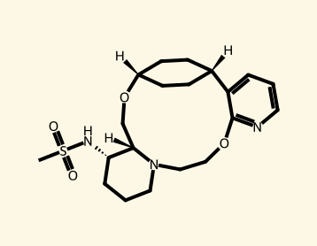 CS(=O)(=O)N[C@H]1CCCN2CCOc3ncccc3[C@H]3CC[C@H](CC3)OC[C@@H]12